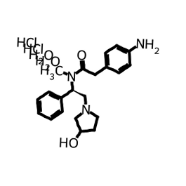 CN(C(=O)Cc1ccc(N)cc1)[C@@H](CN1CCC(O)C1)c1ccccc1.Cl.Cl.O.O